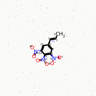 [CH2]/C=C/c1cc([N+](=O)[O-])c([N+](=O)[O-])c([N+](=O)[O-])c1